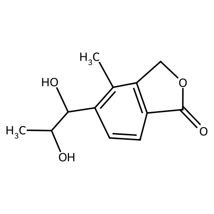 Cc1c(C(O)C(C)O)ccc2c1COC2=O